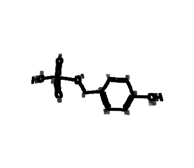 O=S(=O)(O)OCc1ccc(O)cc1